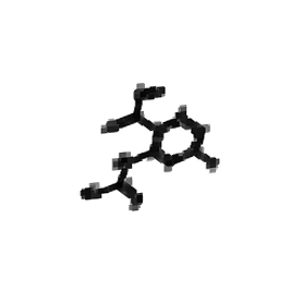 COC(=O)c1ncc(Br)cc1NC(=O)C(C)(C)C